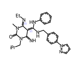 CC/N=C1/C(=C(/NCc2ccc(-n3cccn3)cc2)Nc2ccccc2)C(=N)N(CC(C)C)C(=O)N1C